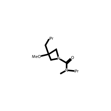 COC1(CC(C)C)CN(C(=O)N(C)C(C)C)C1